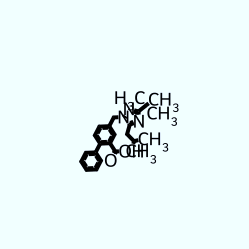 CC(C)Cc1nc(C(C)(C)C)nn1Cc1ccc(-c2ccccc2)c(C(=O)O)c1